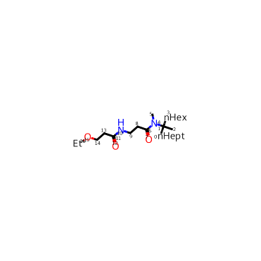 CCCCCCCC(C)(CCCCCC)N(C)C(=O)CCNC(=O)CCOCC